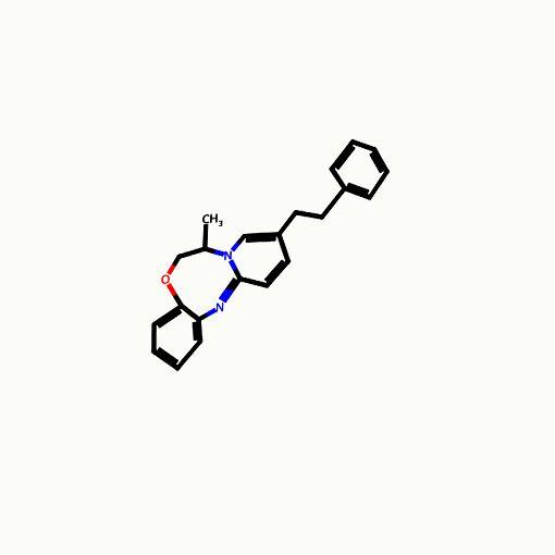 CC1COc2ccccc2/N=C2/C=CC(CCc3ccccc3)=CN21